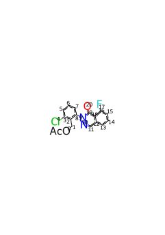 CC(=O)OCc1c(Cl)cccc1-n1ncc2cccc(F)c2c1=O